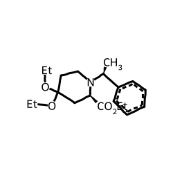 CCOC(=O)[C@H]1CC(OCC)(OCC)CCN1[C@@H](C)c1ccccc1